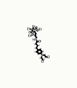 CCOP(=O)(OCC)C(CCCNC(=O)CCCc1ccc(N(CCCl)CCCl)cc1)P(=O)(OCC)OCC